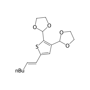 CCCCC=Cc1cc(C2OCCO2)c(C2OCCO2)s1